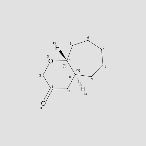 O=C1CO[C@@H]2CCCCC[C@H]2C1